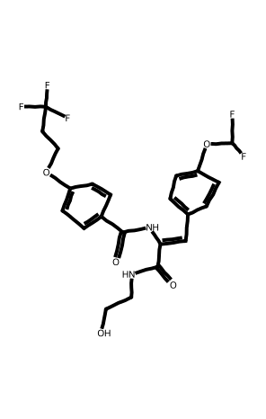 O=C(NCCO)C(=Cc1ccc(OC(F)F)cc1)NC(=O)c1ccc(OCCC(F)(F)F)cc1